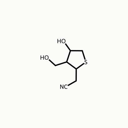 N#CCC1SCC(O)C1CO